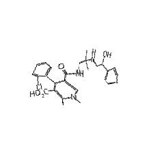 CC1=C(C(=O)O)C(c2ccccc2Cl)C(C(=O)NCC(C)(C)NCC(O)c2ccccc2)=CN1C